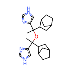 CC(OC(C)(c1c[nH]cn1)C1CC2CCC1C2)(c1c[nH]cn1)C1CC2CCC1C2